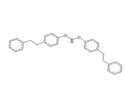 B(Oc1ccc(CCc2ccccc2)cc1)Oc1ccc(CCc2ccccc2)cc1